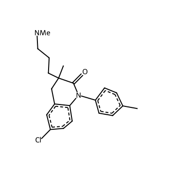 CNCCCC1(C)Cc2cc(Cl)ccc2N(c2ccc(C)cc2)C1=O